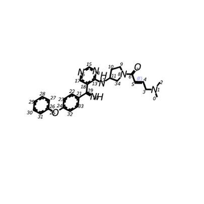 CN(C)C/C=C/C(=O)N1CCC(Nc2ncncc2C(=N)c2ccc(Oc3ccccc3)cc2)C1